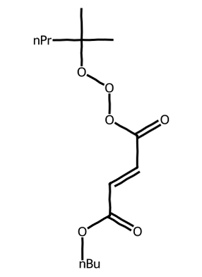 CCCCOC(=O)C=CC(=O)OOOC(C)(C)CCC